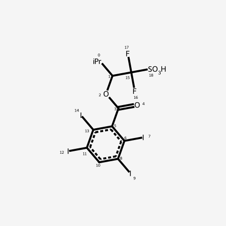 CC(C)C(OC(=O)c1c(I)c(I)cc(I)c1I)C(F)(F)S(=O)(=O)O